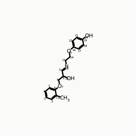 Cc1ccccc1OCC(O)C=NCCOc1ccc(O)cc1